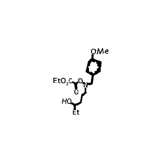 CCOC(=O)C(=O)ON(CCCC(O)CC)Cc1ccc(OC)cc1